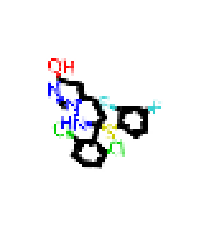 OC1C=C2C=CC(Sc3ccc(F)cc3F)(c3c(Cl)cccc3Cl)NN2C=N1